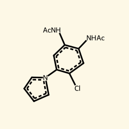 CC(=O)Nc1cc(Cl)c(-n2cccc2)cc1NC(C)=O